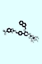 CC(C)(C)OC(=O)ON1CCC(c2ccc(CSc3nc4ccc([N+](=O)[O-])cc4s3)cc2)C(OCc2ccc3ccccc3c2)C1